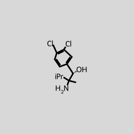 CC(C)C(C)(N)[C@@H](O)c1ccc(Cl)c(Cl)c1